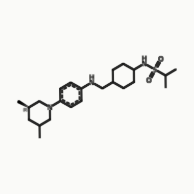 CC1C[C@@H](C)CN(c2ccc(NCC3CCC(NS(=O)(=O)C(C)C)CC3)cc2)C1